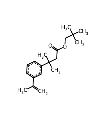 C=C(C)c1cccc(C(C)(C)CC(=O)OCC(C)(C)C)c1